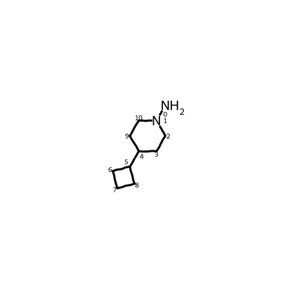 NN1CCC(C2CCC2)CC1